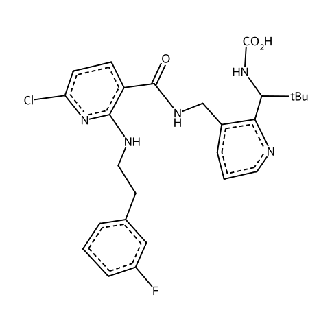 CC(C)(C)C(NC(=O)O)c1ncccc1CNC(=O)c1ccc(Cl)nc1NCCc1cccc(F)c1